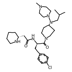 CC(C)CN(C1CCN(C(=O)[C@@H](Cc2ccc(Cl)cc2)NC(=O)C[C@H]2CCCCN2)CC1)N1CCN(C)CC1